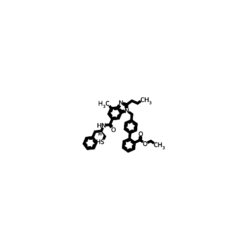 CCCc1nc2c(C)cc(C(=O)N[C@@H](CS)Cc3ccccc3)cc2n1Cc1ccc(-c2ccccc2C(=O)OCC)cc1